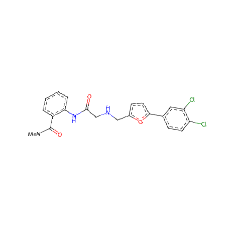 CNC(=O)c1ccccc1NC(=O)CNCc1ccc(-c2ccc(Cl)c(Cl)c2)o1